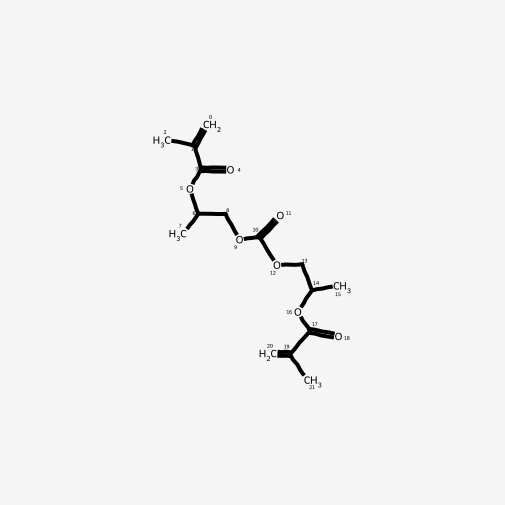 C=C(C)C(=O)OC(C)COC(=O)OCC(C)OC(=O)C(=C)C